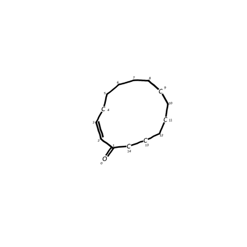 O=C1C=CCCCCCCCCCCC1